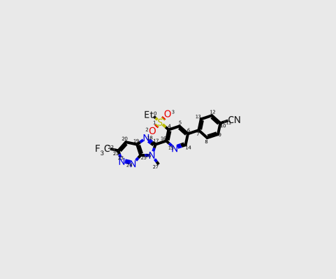 CCS(=O)(=O)c1cc(-c2ccc(C#N)cc2)cnc1-c1nc2cc(C(F)(F)F)nnc2n1C